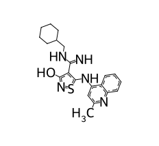 Cc1cc(Nc2snc(O)c2C(=N)NCC2CCCCC2)c2ccccc2n1